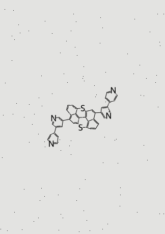 c1cc2sc3cc(-c4cncc(-c5ccncc5)c4)c4cccc5sc6cc(-c7cncc(-c8ccncc8)c7)c(c1)c2c6-c3c54